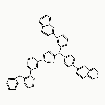 c1cc(-c2ccc(N(c3ccc(-c4ccc5ccccc5c4)cc3)c3cccc(-c4ccc5ccccc5c4)c3)cc2)cc(-c2cccc3c2sc2ccccc23)c1